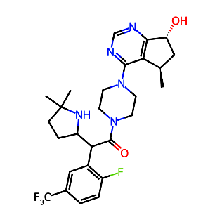 C[C@@H]1C[C@@H](O)c2ncnc(N3CCN(C(=O)C(c4cc(C(F)(F)F)ccc4F)C4CCC(C)(C)N4)CC3)c21